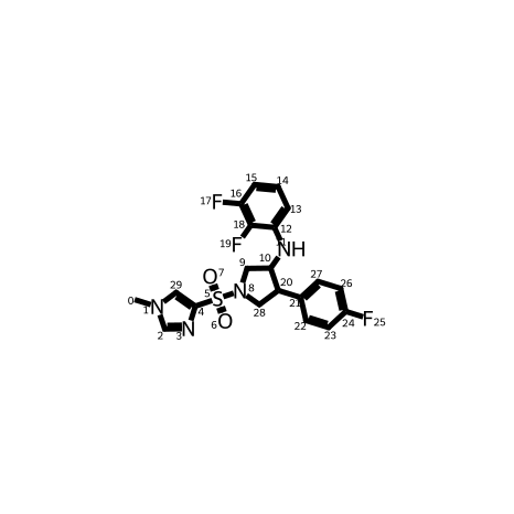 Cn1cnc(S(=O)(=O)N2CC(Nc3cccc(F)c3F)C(c3ccc(F)cc3)C2)c1